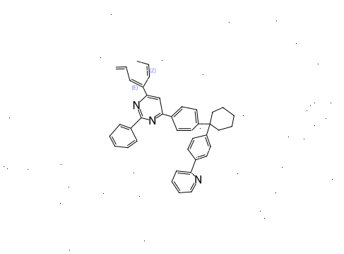 C=C/C=C(\C=C/C)c1cc(-c2ccc(C3(c4ccc(-c5ccccn5)cc4)CCCCC3)cc2)nc(-c2ccccc2)n1